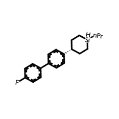 CCC[Si@H]1CC[C@H](c2ccc(-c3ccc(F)cc3)cc2)CC1